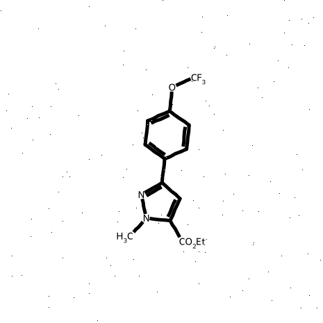 CCOC(=O)c1cc(-c2ccc(OC(F)(F)F)cc2)nn1C